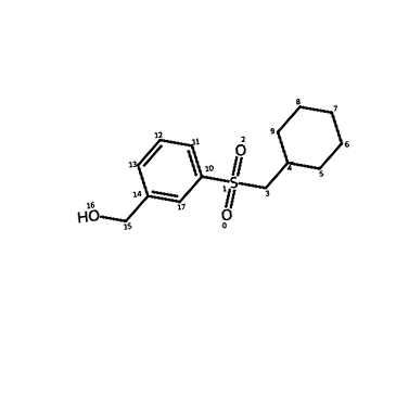 O=S(=O)(C[C]1CCCCC1)c1cccc(CO)c1